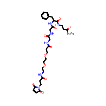 CNC(=O)CCNC(=O)C(Cc1ccccc1)NC(=O)CNC(=O)CNC(=O)CCOCCOCCNC(=O)CCN1C(=O)C=CC1=O